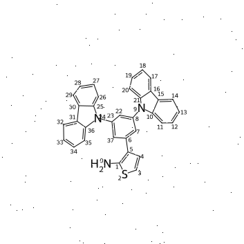 Nc1sccc1-c1cc(-n2c3ccccc3c3ccccc32)cc(-n2c3ccccc3c3ccccc32)c1